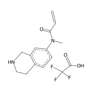 C=CC(=O)N(C)c1ccc2c(c1)CNCC2.O=C(O)C(F)(F)F